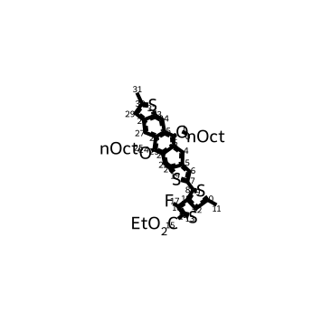 CCCCCCCCOc1c2cc3cc(-c4sc(C)c5sc(C(=O)OCC)c(F)c45)sc3cc2c(OCCCCCCCC)c2cc3cc(C)sc3cc12